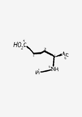 CC(=O)[C@H](CCC(=O)O)NC(C)C